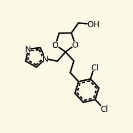 OCC1COC(CCc2ccc(Cl)cc2Cl)(Cn2ccnc2)O1